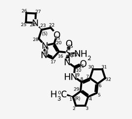 C[C@@H]1CCc2cc3c(c(NC(=O)N=[S@@](N)(=O)c4cnn5c4OC[C@@H](N4CCC4)C5)c21)CCC3